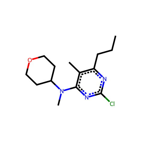 CCCc1nc(Cl)nc(N(C)C2CCOCC2)c1C